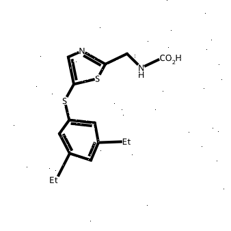 CCc1cc(CC)cc(Sc2cnc(CNC(=O)O)s2)c1